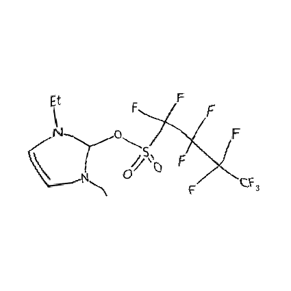 CCN1C=CN(C)C1OS(=O)(=O)C(F)(F)C(F)(F)C(F)(F)C(F)(F)F